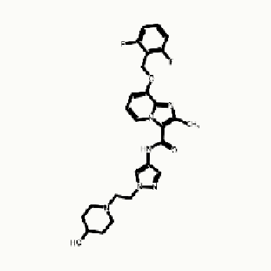 Cc1nc2c(OCc3c(F)cccc3F)cccn2c1C(=O)Nc1cnn(CCN2CCC(O)CC2)c1